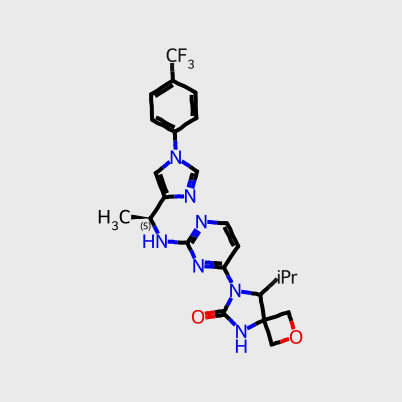 CC(C)C1N(c2ccnc(N[C@@H](C)c3cn(-c4ccc(C(F)(F)F)cc4)cn3)n2)C(=O)NC12COC2